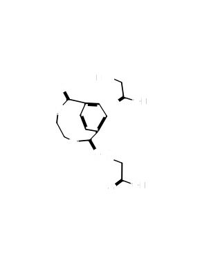 CCC(=O)O.CCC(=O)O.O=C1OCCOC(=O)c2ccc1cc2